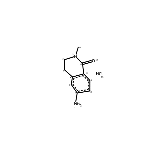 CN1CCc2cc(N)ccc2C1=O.Cl